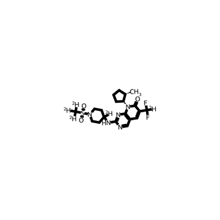 [2H]C1(Nc2ncc3cc(C([2H])(F)F)c(=O)n([C@@H]4CCC[C@@H]4C)c3n2)CCN(S(=O)(=O)C([2H])([2H])[2H])CC1